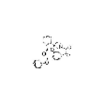 O=C1OC2(CCN(C(=O)C3(c4ccc(COc5ccncc5)cc4)CC3)C2)c2ccccc21